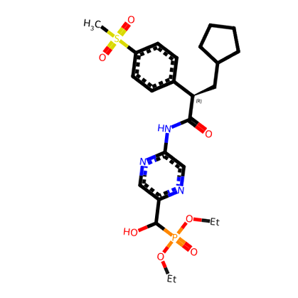 CCOP(=O)(OCC)C(O)c1cnc(NC(=O)[C@H](CC2CCCC2)c2ccc(S(C)(=O)=O)cc2)cn1